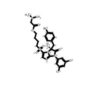 CN(C)CC(=O)OCCCCS(=O)(=O)c1cnc2n1[C@](C)(Cc1ccc(Br)cc1)C(=O)N2c1cc(Cl)cc(Cl)c1